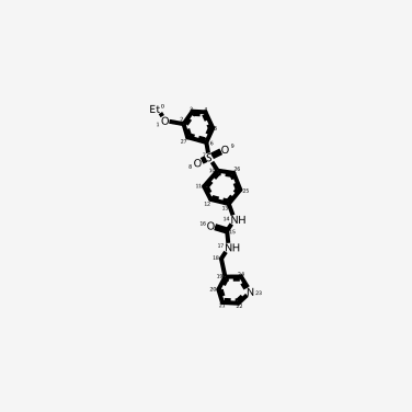 CCOc1cccc(S(=O)(=O)c2ccc(NC(=O)NCc3cccnc3)cc2)c1